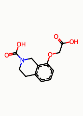 O=C(O)COc1cccc2c1CN(C(=O)O)CC2